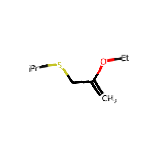 C=C(CSC(C)C)OCC